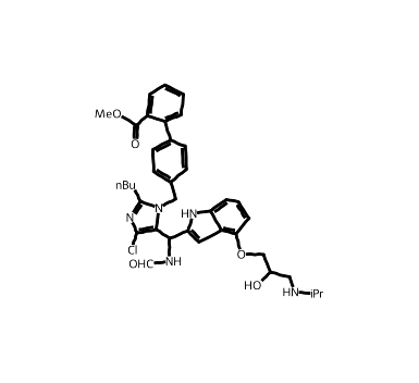 CCCCc1nc(Cl)c(C(NC=O)c2cc3c(OCC(O)CNC(C)C)cccc3[nH]2)n1Cc1ccc(-c2ccccc2C(=O)OC)cc1